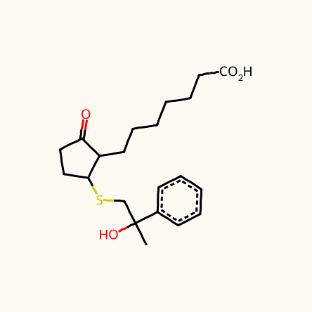 CC(O)(CSC1CCC(=O)C1CCCCCCC(=O)O)c1ccccc1